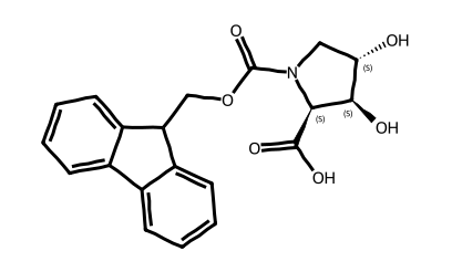 O=C(O)[C@@H]1[C@H](O)[C@@H](O)CN1C(=O)OCC1c2ccccc2-c2ccccc21